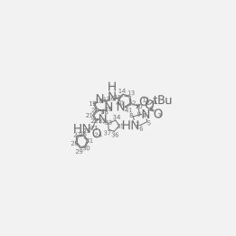 CC(C)(C)OC(=O)N1CCNCC1C(=O)c1ccc(Nc2ncc3cc(C(=O)Nc4ccccc4)n(C4CCCC4)c3n2)nc1